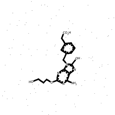 Nc1nc(OCCCO)nc2c1nc(O)n2Cc1cccc(CC(=O)O)c1